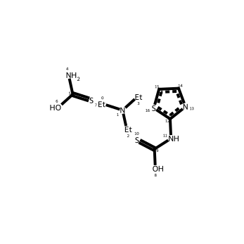 CCN(CC)CC.NC(O)=S.OC(=S)Nc1nccs1